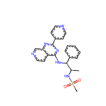 CC(NS(C)(=O)=O)C(Nc1nc(-c2ccncc2)nc2cnccc12)c1ccccc1